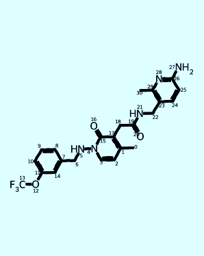 Cc1ccn(NCc2cccc(OC(F)(F)F)c2)c(=O)c1CC(=O)NCc1ccc(N)nc1C